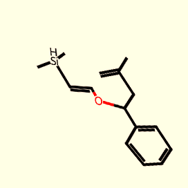 C=C(C)CC(OC=C[SiH](C)C)c1ccccc1